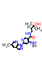 Cc1cnc2c(cnn2-c2cc(NC(C)C)c(C(=O)NC[C@@H](F)C(C)(C)O)cn2)c1